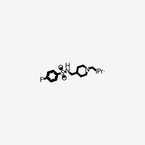 C[C](C)CN1CCC(CNS(=O)(=O)c2ccc(F)cc2)CC1